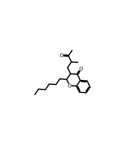 CCCCCCC1Oc2ccccc2C(=O)C1CC(C)C(C)=O